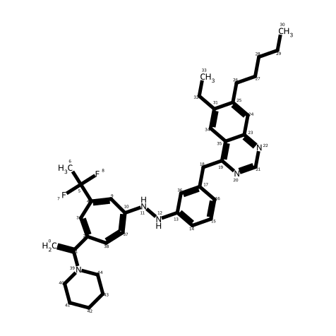 C=C(C1=CC(C(C)(F)F)=CC(NNc2cccc(Cc3ncnc4cc(CCCCC)c(CC)cc34)c2)=C=C1)N1CCCCC1